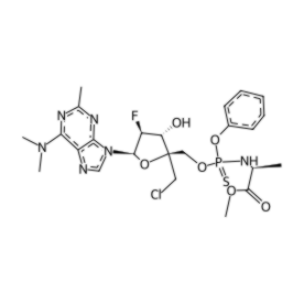 COC(=O)[C@H](C)NP(=S)(OC[C@@]1(CCl)O[C@@H](n2cnc3c(N(C)C)nc(C)nc32)[C@@H](F)[C@@H]1O)Oc1ccccc1